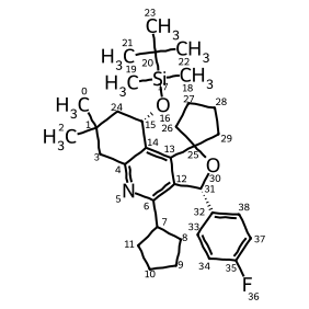 CC1(C)Cc2nc(C3CCCC3)c3c(c2[C@@H](O[Si](C)(C)C(C)(C)C)C1)C1(CCCC1)O[C@@H]3c1ccc(F)cc1